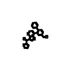 O=Cc1ccc(-c2ccccc2)c(-c2ccnc3c(C(=O)c4cccs4)cnn23)c1